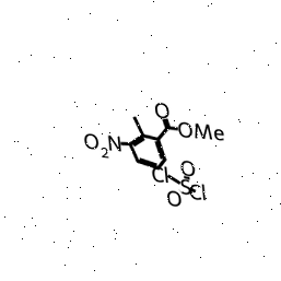 COC(=O)c1cccc([N+](=O)[O-])c1C.O=S(=O)(Cl)Cl